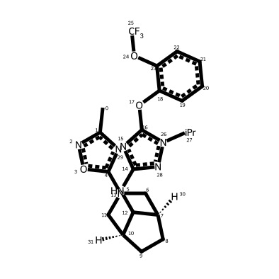 Cc1noc(N2C[C@H]3CC[C@@H](C2)C3Nc2nc(Oc3ccccc3OC(F)(F)F)n(C(C)C)n2)n1